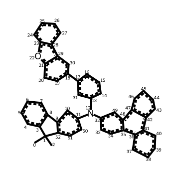 CC1(C)c2ccccc2-c2cc(N(c3cccc(-c4ccc5oc6ccccc6c5c4)c3)c3ccc4c5ccccc5c5ccccc5c4c3)ccc21